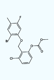 COC(=O)Oc1cccc(Cl)c1COc1cc(F)c(C)cc1Br